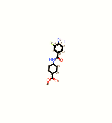 COC(=O)C1CCC(NC(=O)c2ccc(N)c(F)c2)CC1